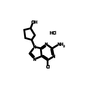 Cl.Nc1nc(Cl)c2ncn(C3CCC(O)C3)c2n1